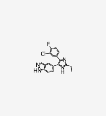 CCc1nc(-c2ccc(F)c(Cl)c2)c(-c2ccc3[nH]ncc3c2)[nH]1